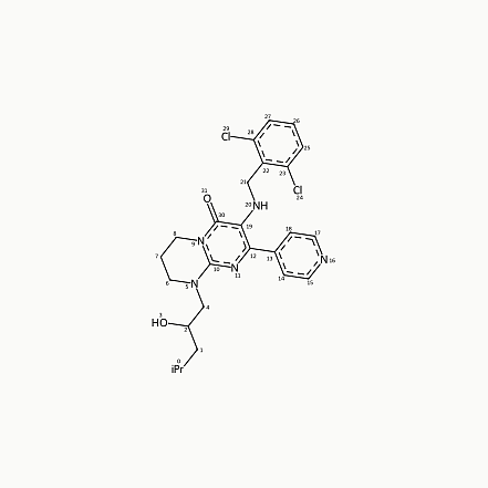 CC(C)CC(O)CN1CCCn2c1nc(-c1ccncc1)c(NCc1c(Cl)cccc1Cl)c2=O